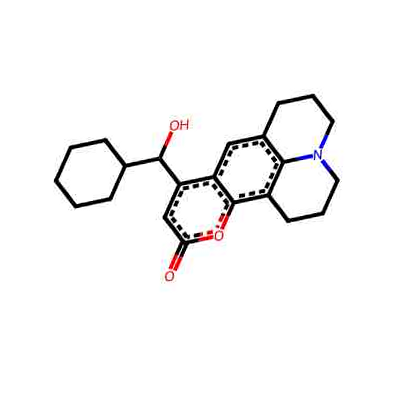 O=c1cc(C(O)C2CCCCC2)c2cc3c4c(c2o1)CCCN4CCC3